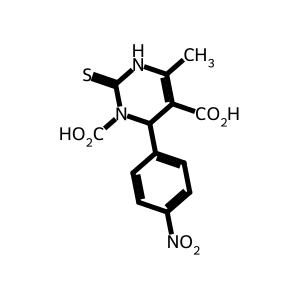 CC1=C(C(=O)O)C(c2ccc([N+](=O)[O-])cc2)N(C(=O)O)C(=S)N1